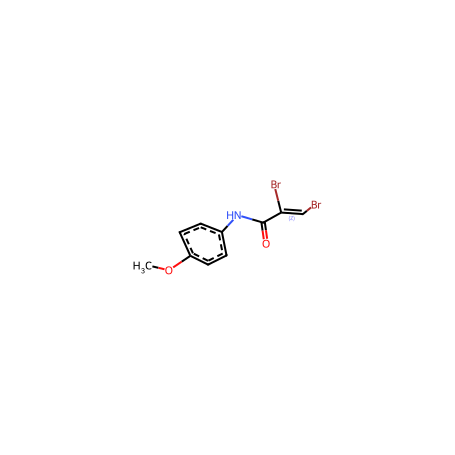 COc1ccc(NC(=O)/C(Br)=C/Br)cc1